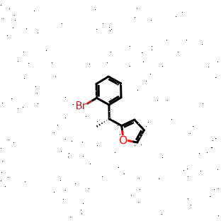 C[C@@H](c1ccco1)c1ccccc1Br